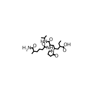 CCC(CC(CC(NC(=O)CCCC(C)C(N)=O)C(=O)NC(C)C)N1CCCC1=O)C(=O)O